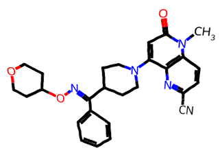 Cn1c(=O)cc(N2CCC(/C(=N/OC3CCOCC3)c3ccccc3)CC2)c2nc(C#N)ccc21